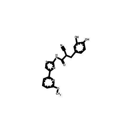 COc1cccc(-c2csc(NC(=O)C(C#N)Cc3ccc(O)c(O)c3)n2)n1